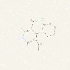 COC(=O)C1=C(C)NC(C)=C(C(=O)OC)C1c1ccccc1[18F]